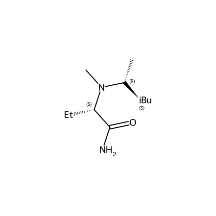 CC[C@H](C)[C@@H](C)N(C)[C@@H](CC)C(N)=O